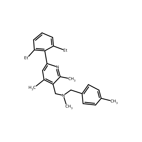 CCc1cccc(CC)c1-c1cc(C)c(CN(C)Cc2ccc(C)cc2)c(C)n1